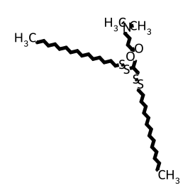 CCCCCCCCCCCCCCCCSSCC(COC(=O)CCCN(C)C)SSCCCCCCCCCCCCCCCC